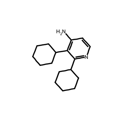 Nc1ccnc(C2CCCCC2)c1C1CCCCC1